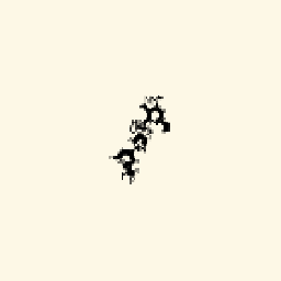 CCc1cc2c(cnn2C)c(NS(=O)(=O)c2cnn(-c3ccnc(C(F)(F)F)c3)c2)n1